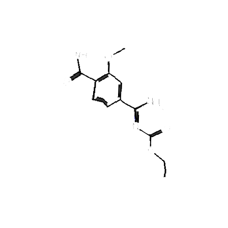 CCOC(=O)/N=C(\N)c1ccc(C([NH])=O)c(OC)c1